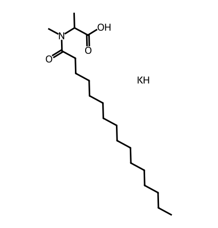 CCCCCCCCCCCCCCCC(=O)N(C)C(C)C(=O)O.[KH]